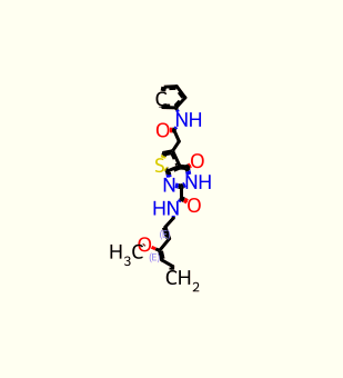 C=C/C=C(\C=C\CNC(=O)c1nc2scc(CC(=O)Nc3ccccc3)c2c(=O)[nH]1)OC